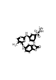 CCCNS(=O)(=O)c1cccc(Nc2ncc(C)c(Nc3ccc4oc(=O)[nH]c4c3)n2)c1